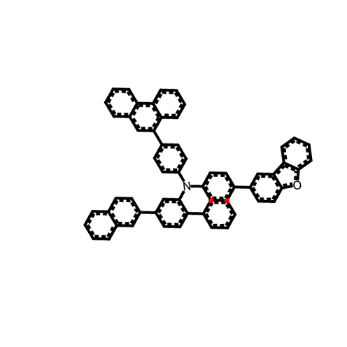 c1ccc(-c2ccc(-c3ccc4ccccc4c3)cc2N(c2ccc(-c3ccc4oc5ccccc5c4c3)cc2)c2ccc(-c3cc4ccccc4c4ccccc34)cc2)cc1